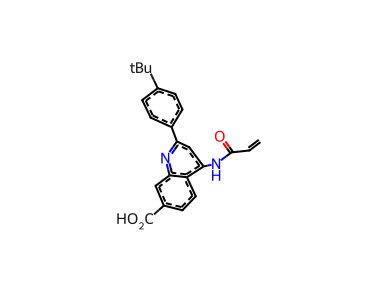 C=CC(=O)Nc1cc(-c2ccc(C(C)(C)C)cc2)nc2cc(C(=O)O)ccc12